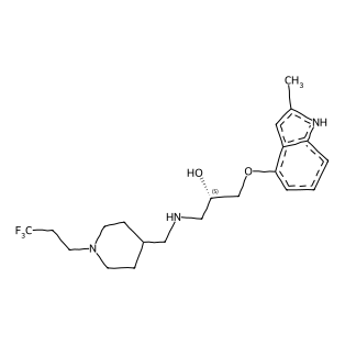 Cc1cc2c(OC[C@@H](O)CNCC3CCN(CCC(F)(F)F)CC3)cccc2[nH]1